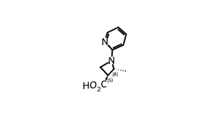 C[C@@H]1[C@@H](C(=O)O)CN1c1ccccn1